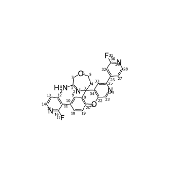 NC1=NC2(CCOC1)c1cc(-c3cccnc3F)ccc1Oc1cnc(-c3ccnc(F)c3)cc12